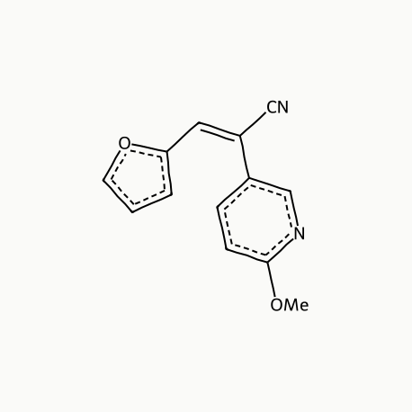 COc1ccc(/C(C#N)=C\c2ccco2)cn1